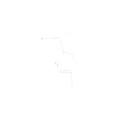 CC(C)C(C)c1ccc(F)cn1